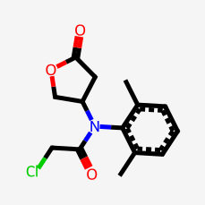 Cc1cccc(C)c1N(C(=O)CCl)C1COC(=O)C1